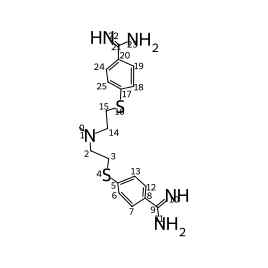 CN(CCSc1ccc(C(=N)N)cc1)CCSc1ccc(C(=N)N)cc1